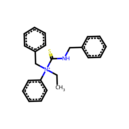 CC[N+](Cc1ccccc1)(C(=S)NCc1ccccc1)c1ccccc1